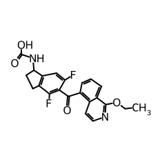 CCOc1nccc2c(C(=O)c3c(F)cc4c(c3F)CCC4NC(=O)O)cccc12